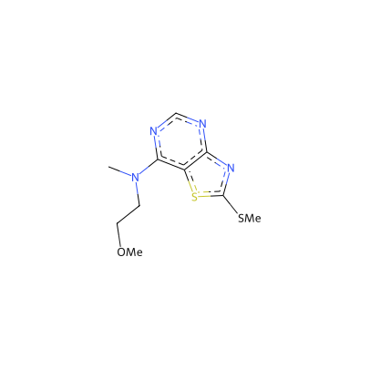 COCCN(C)c1ncnc2nc(SC)sc12